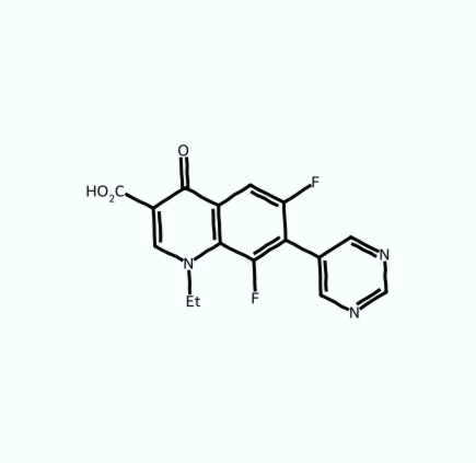 CCn1cc(C(=O)O)c(=O)c2cc(F)c(-c3cncnc3)c(F)c21